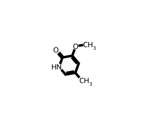 COc1cc(C)c[nH]c1=O